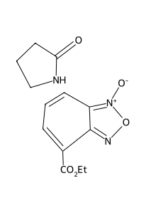 CCOC(=O)c1cccc2c1no[n+]2[O-].O=C1CCCN1